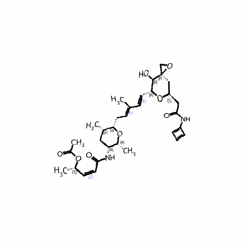 CC(=O)O[C@@H](C)/C=C\C(=O)N[C@@H]1C[C@H](C)[C@H](C/C=C(C)/C=C/[C@H]2O[C@H](CC(=O)NC3=CC=C3)C[C@@]3(CO3)[C@@H]2O)O[C@@H]1C